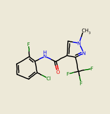 Cn1cc(C(=O)Nc2c(F)cccc2Cl)c(C(F)(F)F)n1